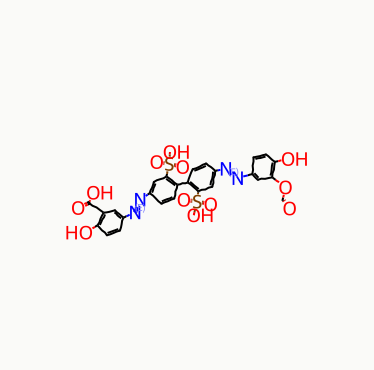 O=COc1cc(/N=N/c2ccc(-c3ccc(/N=N/c4ccc(O)c(C(=O)O)c4)cc3S(=O)(=O)O)c(S(=O)(=O)O)c2)ccc1O